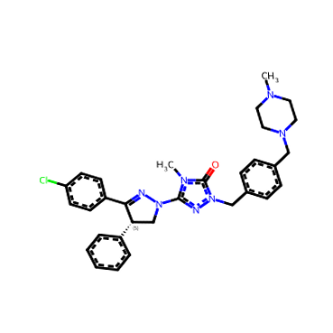 CN1CCN(Cc2ccc(Cn3nc(N4C[C@H](c5ccccc5)C(c5ccc(Cl)cc5)=N4)n(C)c3=O)cc2)CC1